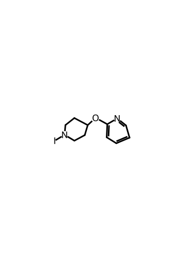 IN1CCC(Oc2ccccn2)CC1